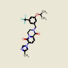 Cc1cn(-c2ccc3n(c2=O)CCN(Cc2cc(OC(C)C)cc(C(F)(F)F)c2)C3=O)cn1